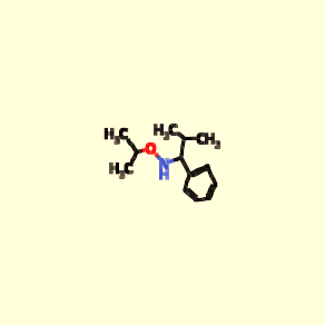 CC(C)ONC(c1ccccc1)C(C)C